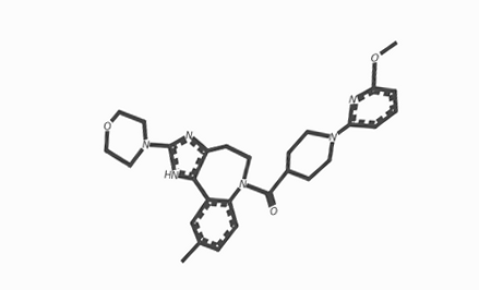 COc1cccc(N2CCC(C(=O)N3CCc4nc(N5CCOCC5)[nH]c4-c4cc(C)ccc43)CC2)n1